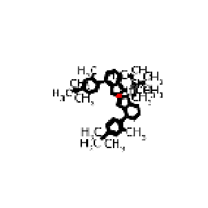 Cc1cc(C(C)(C)C)ccc1-c1cccc2c1C=C[CH]2[Hf]([CH3])([CH3])([CH]1C=Cc2c(-c3ccc(C(C)(C)C)cc3C)cccc21)=[Si](C(C)C)C(C)C